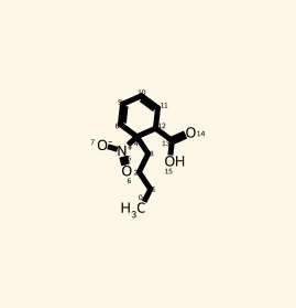 CCCCC1([N+](=O)[O-])C=CC=CC1C(=O)O